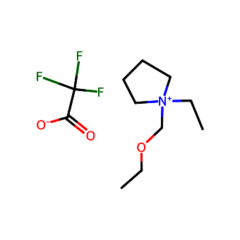 CCOC[N+]1(CC)CCCC1.O=C([O-])C(F)(F)F